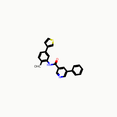 O=Cc1ccc(-c2ccsc2)cc1NC(=O)c1cncc(-c2ccccc2)c1